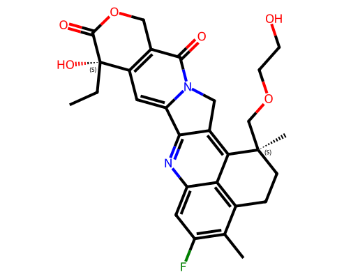 CC[C@@]1(O)C(=O)OCc2c1cc1n(c2=O)Cc2c-1nc1cc(F)c(C)c3c1c2[C@@](C)(COCCO)CC3